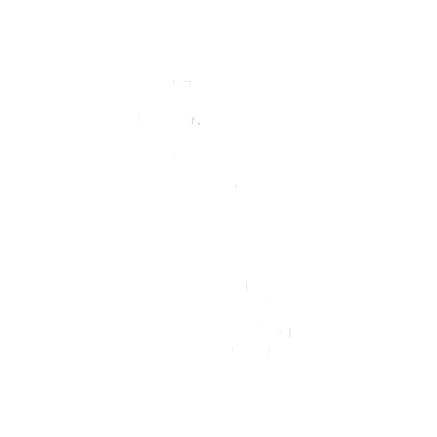 CC(C)n1ccc(CS(=O)(=O)c2ccc(B3OC(C)(C)C(C)(C)O3)cc2)cc1=O